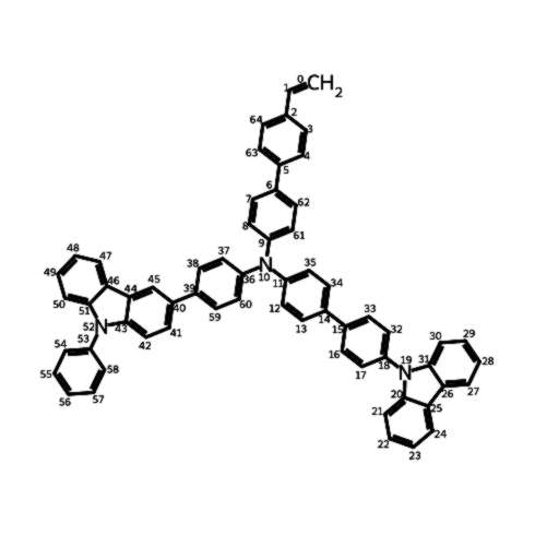 C=Cc1ccc(-c2ccc(N(c3ccc(-c4ccc(-n5c6ccccc6c6ccccc65)cc4)cc3)c3ccc(-c4ccc5c(c4)c4ccccc4n5-c4ccccc4)cc3)cc2)cc1